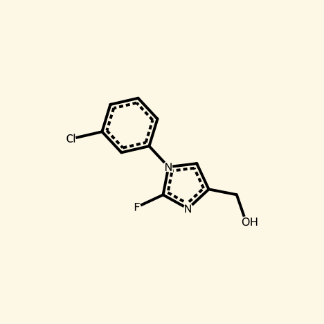 OCc1cn(-c2cccc(Cl)c2)c(F)n1